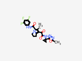 Cc1nnc(C2(NC(=O)C(=O)c3c(C)c(C(=O)Nc4cc(F)c(F)c(F)c4)n4c3CCC4)CC2)o1